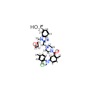 Cc1ccc(N(C)c2ccc(C)c(C(=O)N3CCN(Cc4nc5ccc(C(=O)O)cc5n4C[C@@H]4CCO4)CC3)c2)c(Cl)c1